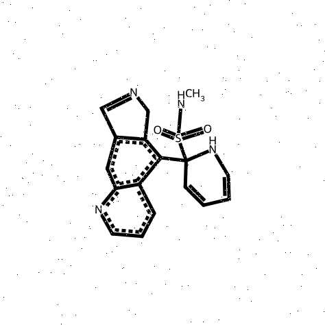 CNS(=O)(=O)C1(c2c3c(cc4ncccc24)C=NC3)C=CC=CN1